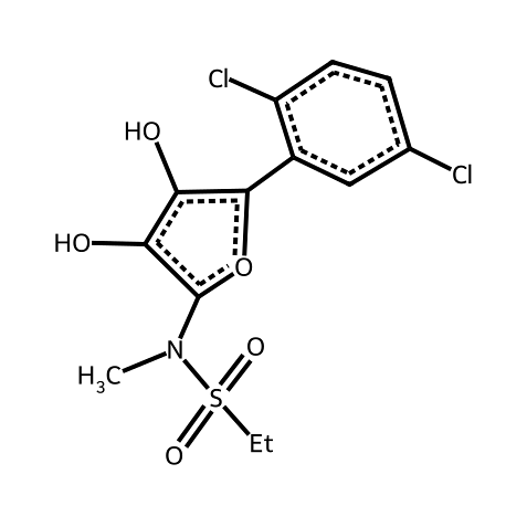 CCS(=O)(=O)N(C)c1oc(-c2cc(Cl)ccc2Cl)c(O)c1O